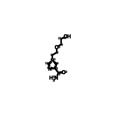 NC(=O)c1cn(CCOCCO)cn1